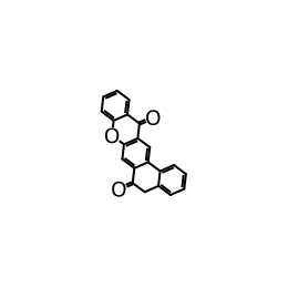 O=C1Cc2ccccc2-c2cc3c(=O)c4ccccc4oc3cc21